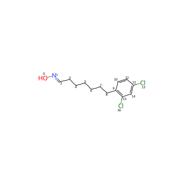 O/N=C/CCCCCCc1ccc(Cl)cc1Cl